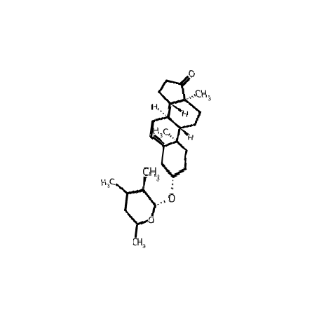 CC1CC(C)[C@@H](C)[C@H](O[C@H]2CC[C@@]3(C)C(=CC[C@@H]4[C@@H]3CC[C@]3(C)C(=O)CC[C@@H]43)C2)O1